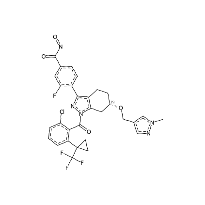 Cn1cc(CO[C@H]2CCc3c(-c4ccc(C(=O)N=O)cc4F)nn(C(=O)c4c(Cl)cccc4C4(C(F)(F)F)CC4)c3C2)cn1